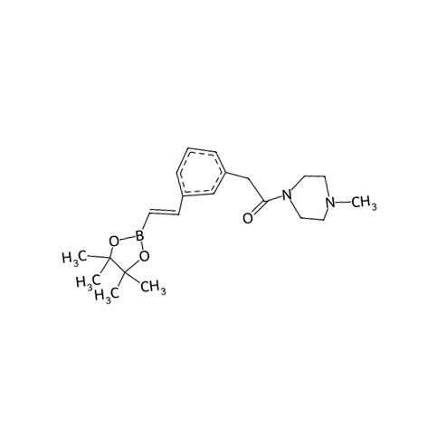 CN1CCN(C(=O)Cc2cccc(C=CB3OC(C)(C)C(C)(C)O3)c2)CC1